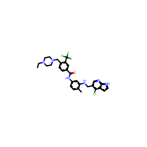 CCN1CCN(Cc2ccc(C(=O)Nc3ccc(C)c(NCc4cnc5[nH]ccc5c4Cl)c3)cc2C(F)(F)F)CC1